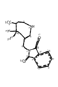 CC1CNCC(CN2C(=O)c3ccccc3C2=O)C1(F)F